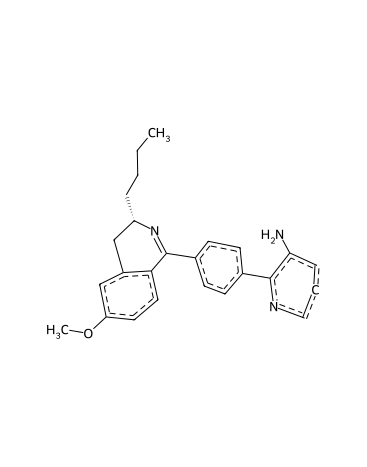 CCCC[C@H]1Cc2cc(OC)ccc2C(c2ccc(-c3ncccc3N)cc2)=N1